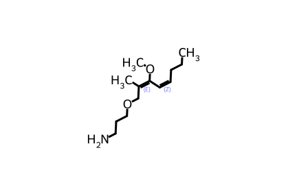 CCC/C=C\C(OC)=C(\C)COCCCN